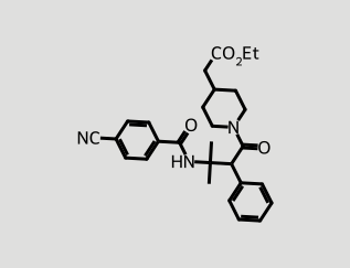 CCOC(=O)CC1CCN(C(=O)C(c2ccccc2)C(C)(C)NC(=O)c2ccc(C#N)cc2)CC1